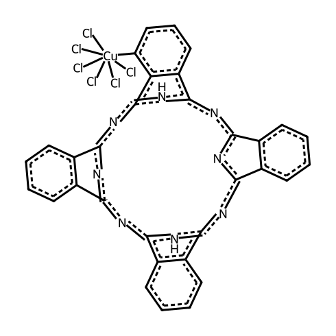 [Cl][Cu]([Cl])([Cl])([Cl])([Cl])([Cl])[c]1cccc2c3nc4nc(nc5[nH]c(nc6nc(nc([nH]3)c12)-c1ccccc1-6)c1ccccc51)-c1ccccc1-4